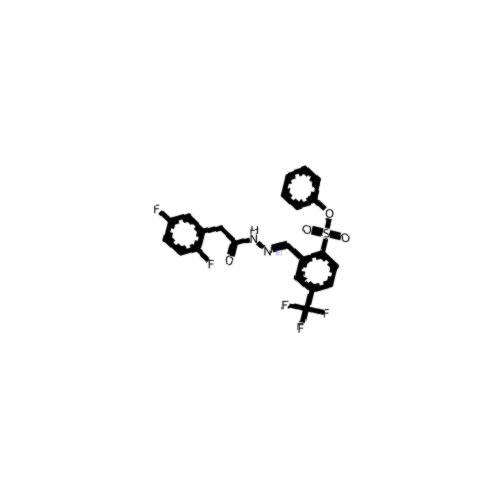 O=C(Cc1cc(F)ccc1F)N/N=C/c1cc(C(F)(F)F)ccc1S(=O)(=O)Oc1ccccc1